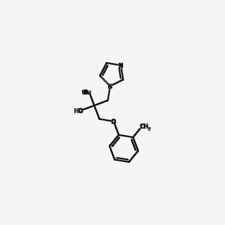 Cc1ccccc1OCC(O)(Cn1ccnc1)C(C)(C)C